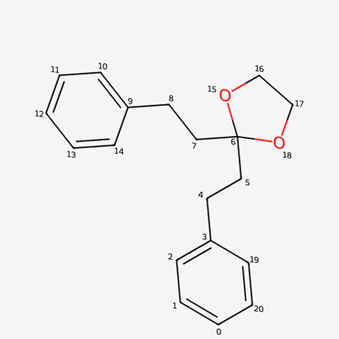 c1ccc(CCC2(CCc3ccccc3)OCCO2)cc1